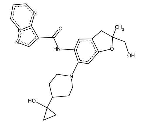 CC1(CO)Cc2cc(NC(=O)c3cnn4cccnc34)c(N3CCC(C4(O)CC4)CC3)cc2O1